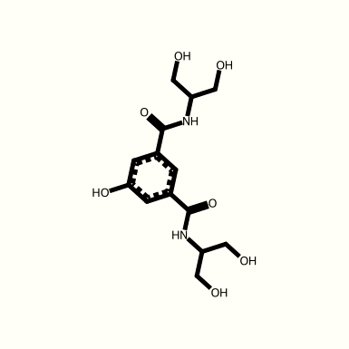 O=C(NC(CO)CO)c1cc(O)cc(C(=O)NC(CO)CO)c1